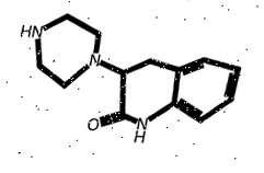 O=C1Nc2ccccc2CC1N1CCNCC1